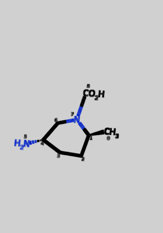 C[C@H]1CC[C@H](N)CN1C(=O)O